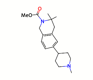 COC(=O)N1Cc2ccc(C3CCN(C)CC3)cc2CC1(C)C